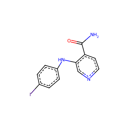 NC(=O)c1ccncc1Nc1ccc(I)cc1